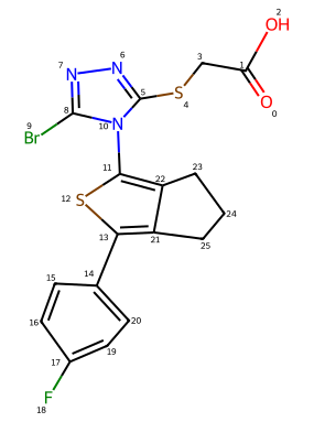 O=C(O)CSc1nnc(Br)n1-c1sc(-c2ccc(F)cc2)c2c1CCC2